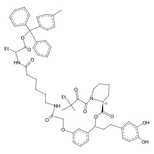 CCC(NC(=O)CCCCCNC(=O)COc1cccc(C(CCc2ccc(O)c(O)c2)OC(=O)[C@@H]2CCCCN2C(=O)C(=O)C(C)(C)CC)c1)C(=O)OC(c1ccccc1)(c1ccccc1)c1ccc(C)cc1